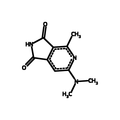 Cc1nc(N(C)C)cc2c1C(=O)NC2=O